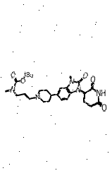 CN(CCCN1CCC(c2ccc3c(c2)n(C)c(=O)n3C2CCC(=O)NC2=O)CC1)C(=O)OC(C)(C)C